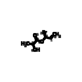 C=CC(Br)OC(=O)C(C)O